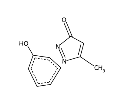 CC1=CC(=O)N=N1.Oc1ccccc1